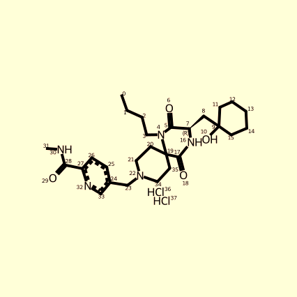 CCCCN1C(=O)[C@@H](CC2(O)CCCCC2)NC(=O)C12CCN(Cc1ccc(C(=O)NC)nc1)CC2.Cl.Cl